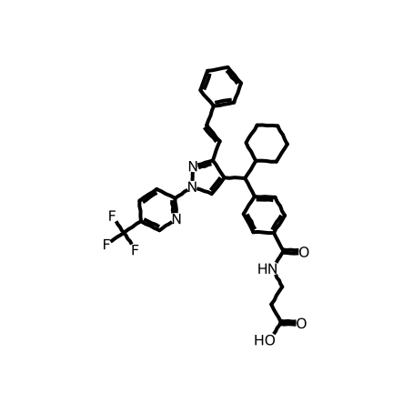 O=C(O)CCNC(=O)c1ccc(C(c2cn(-c3ccc(C(F)(F)F)cn3)nc2C=Cc2ccccc2)C2CCCCC2)cc1